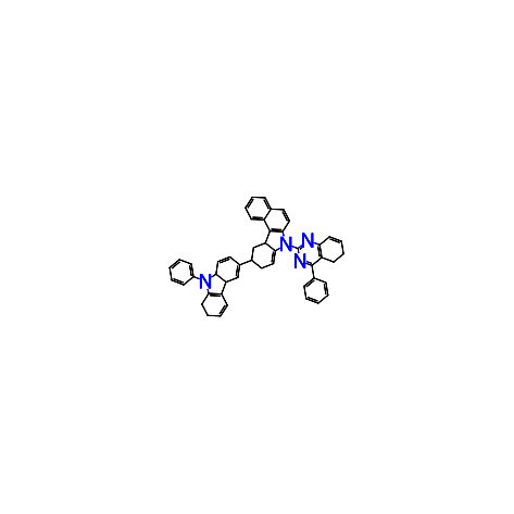 C1=CC2=C(CC1)N(c1ccccc1)C1C=CC(C3CC=C4C(C3)c3c(ccc5ccccc35)N4c3nc4c(c(-c5ccccc5)n3)CCC=C4)=CC21